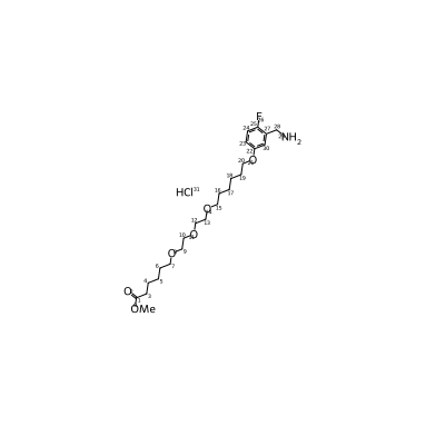 COC(=O)CCCCCOCCOCCOCCCCCCOc1ccc(F)c(CN)c1.Cl